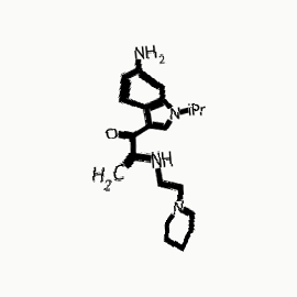 C=C(NCCN1CCCCC1)C(=O)c1cn(C(C)C)c2cc(N)ccc12